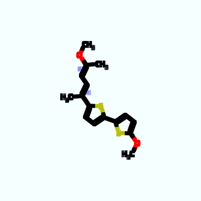 CO/C(C)=C/C=C(\C)c1ccc(-c2ccc(OC)s2)s1